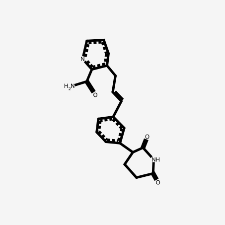 NC(=O)c1ncccc1CC=Cc1cccc(C2CCC(=O)NC2=O)c1